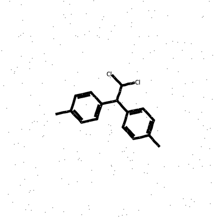 Cc1ccc(C(c2ccc(C)cc2)C(Cl)Cl)cc1